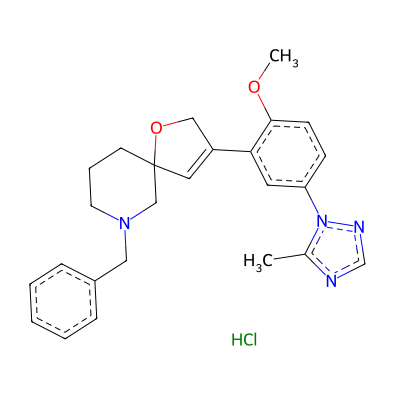 COc1ccc(-n2ncnc2C)cc1C1=CC2(CCCN(Cc3ccccc3)C2)OC1.Cl